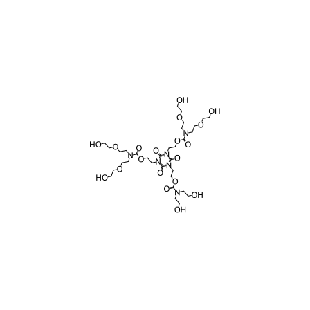 O=C(OCCn1c(=O)n(CCOC(=O)N(CCOCCO)CCOCCO)c(=O)n(CCOC(=O)N(CCOCCO)CCOCCO)c1=O)N(CCO)CCO